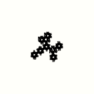 c1ccc(-c2ccc(-c3cc(-c4nc(-c5ccccc5)nc(-c5ccccc5)n4)cc(-c4nc5cccnc5c5cnccc45)c3)cc2)cc1